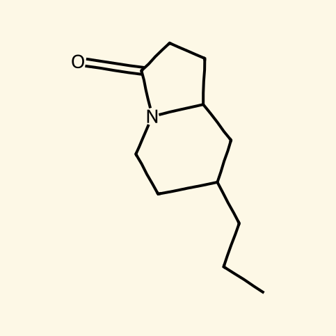 CCCC1CCN2C(=O)CCC2C1